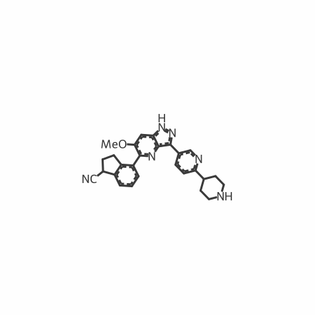 COc1cc2[nH]nc(-c3ccc(C4CCNCC4)nc3)c2nc1-c1cccc2c1CCC2C#N